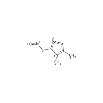 Cc1cnc(CN=O)n1C